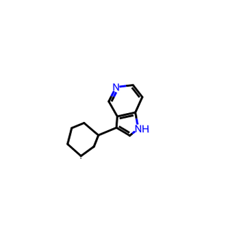 [CH]1CCCC(c2c[nH]c3ccncc23)C1